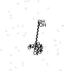 CC(=O)CC1O[C@H](COC(C)=O)C(OC(=O)CCCCCCCCCCCC(O)CO)[C@H](OC(C)=O)[C@H]1OC(C)=O